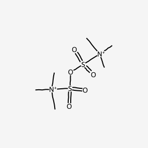 C[N+](C)(C)S(=O)(=O)OS(=O)(=O)[N+](C)(C)C